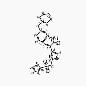 O=c1[nH]c2cc(CN3CCOCC3)ccc2cc1-c1csc(CS(=O)(=O)c2cccs2)n1